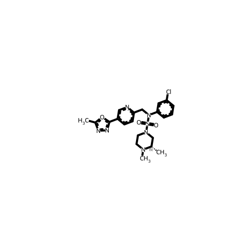 Cc1nnc(-c2ccc(CN(c3cccc(Cl)c3)S(=O)(=O)N3CCN(C)[C@@H](C)C3)nc2)o1